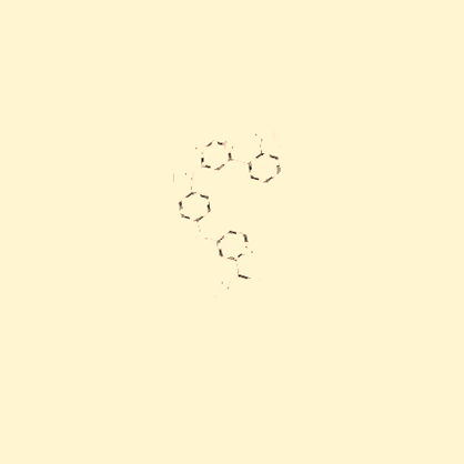 NC(=O)c1cc(Oc2ccc(Nc3cc(-c4ccccc4N)ncn3)cc2)ccn1